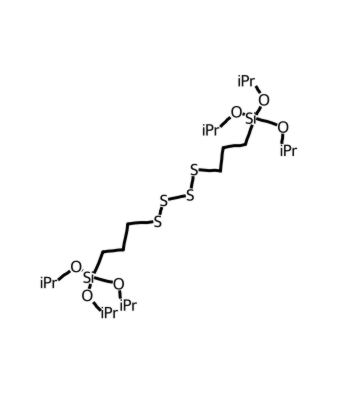 CC(C)O[Si](CCCSSSSCCC[Si](OC(C)C)(OC(C)C)OC(C)C)(OC(C)C)OC(C)C